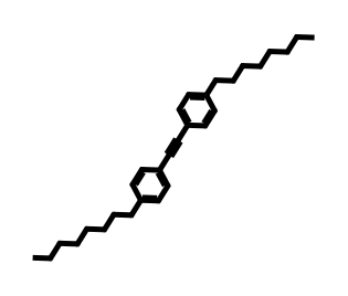 CCCCCCCCc1ccc(C#Cc2ccc(CCCCCCCC)cc2)cc1